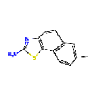 Cc1ccc2c(ccc3nc(N)sc32)c1